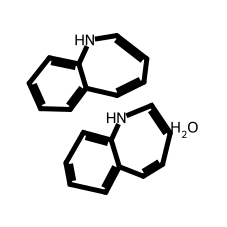 C1=CNc2ccccc2C=C1.C1=CNc2ccccc2C=C1.O